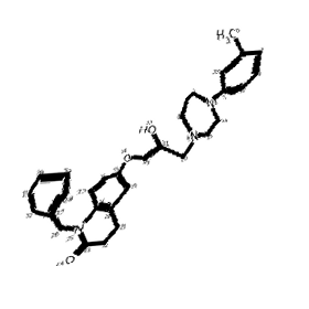 Cc1cccc(N2CCN(CC(O)COc3ccc4c(c3)CCC(=O)N4Cc3ccccc3)CC2)c1